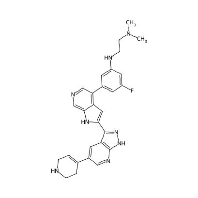 CN(C)CCNc1cc(F)cc(-c2cncc3[nH]c(-c4n[nH]c5ncc(C6=CCNCC6)cc45)cc23)c1